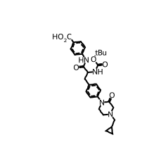 CC(C)(C)OC(=O)NC(Cc1ccc(N2CCN(CC3CC3)CC2=O)cc1)C(=O)Nc1ccc(C(=O)O)cc1